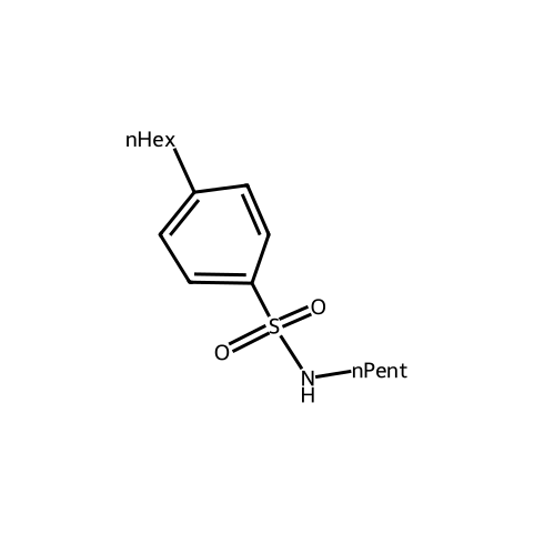 [CH2]CCCCCc1ccc(S(=O)(=O)NCCCCC)cc1